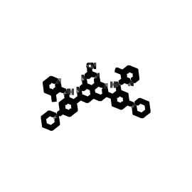 Cc1cccnc1Nc1cc(N2CCCCC2)ccc1C1=CC2=CC(c3ccc(N4CCCCC4)cc3Nc3ncccc3C)=NC3=NC(C#N)=NC(=N1)C23